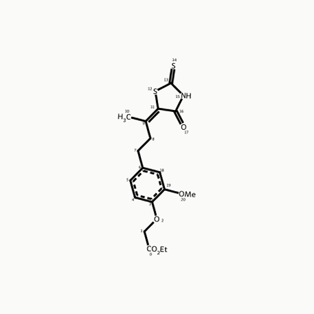 CCOC(=O)COc1ccc(CC/C(C)=C2/SC(=S)NC2=O)cc1OC